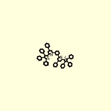 c1ccc(-c2cc(-c3cccc(-c4cc(-c5ccccc5)cc(-c5sc(-c6ccccc6)c(-c6ccccc6)c5-c5ccccc5)n4)c3)nc(-c3sc(-c4ccccc4)c(-c4ccccc4)c3-c3ccccc3)c2)cc1